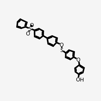 O=S(=O)(c1ccccc1)c1ccc(-c2ccc(OSc3ccc(Oc4ccc(O)cc4)cc3)cc2)cc1